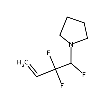 C=CC(F)(F)C(F)N1CCCC1